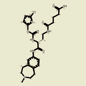 CN1CCc2ccc(NC(=O)[C@@H](CCNC(=O)CCCC(=O)O)NC(=O)Oc3ccc(Cl)s3)cc2CC1